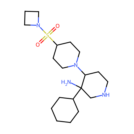 NC1(C2CCCCC2)CNCCC1N1CCC(S(=O)(=O)N2CCC2)CC1